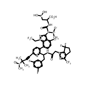 C[S+]([O-])N(C(=O)NC(CP(O)O)C(=O)O)c1nn(CC(F)(F)F)c2c(-c3ccc(C#CC(C)(C)[S+](C)[O-])nc3C(Cc3cc(F)cc(F)c3)NC(=O)Cn3nc(C(F)(F)F)c4c3C(F)(F)CC4)ccc(Cl)c12